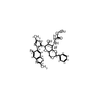 Cc1nc([C@@H]2OC3COC(c4ccccc4)O[C@@H]3C(NNC(=O)OC(C)(C)C)C2O)n(-c2cc3sc(C)nc3cc2F)n1